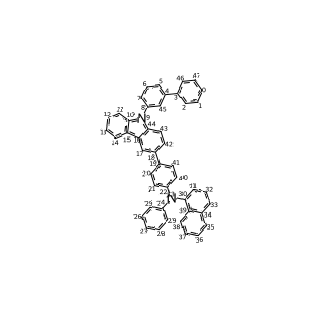 c1ccc(-c2cccc(-n3c4ccccc4c4cc(-c5ccc(N(c6ccccc6)c6cccc7ccccc67)cc5)ccc43)c2)cc1